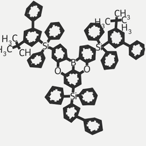 CC(C)(C)c1cc(-c2ccccc2)cc([Si](c2ccccc2)(c2ccccc2)c2ccc3c(c2)Oc2cc([Si](c4ccccc4)(c4ccccc4)c4cccc(-c5ccccc5)c4)cc4c2B3c2ccc([Si](c3ccccc3)(c3ccccc3)c3cc(-c5ccccc5)cc(C(C)(C)C)c3)cc2O4)c1